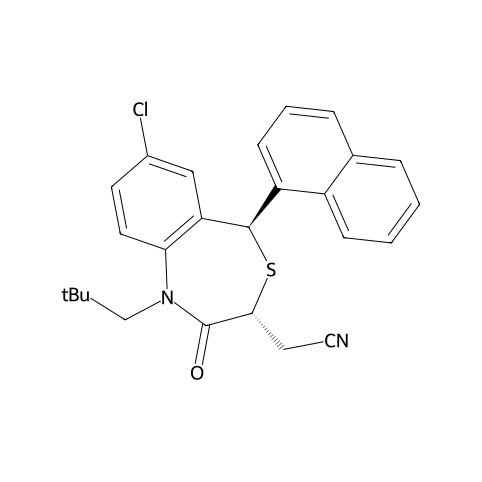 CC(C)(C)CN1C(=O)[C@@H](CC#N)S[C@H](c2cccc3ccccc23)c2cc(Cl)ccc21